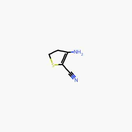 N#CC1=C(N)CCS1